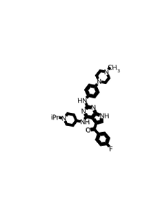 CC(C)N1CCC(Nc2nc(Nc3ccc(N4CCN(C)CC4)cc3)nc3[nH]cc(C(=O)c4ccc(F)cc4)c23)CC1